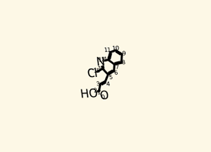 O=C(O)/C=C/c1cc2ccccc2nc1Cl